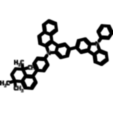 CC1(C)CCC(C)(C)c2c(-c3ccc(-n4c5ccc(-c6ccc7c(c6)c6ccccc6n7-c6ccccc6)cc5c5c6ccccc6ccc54)cc3)cccc21